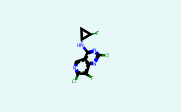 Fc1c(Cl)ncc2c(N[C@@H]3C[C@H]3F)nc(Cl)nc12